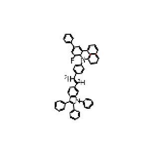 [2H]/C(=C(/[2H])c1ccc2c(-c3ccccc3)c(-c3ccccc3)n(-c3ccccc3)c2c1)c1ccc(N(c2ccccc2)c2c(F)cc(-c3ccccc3)cc2-c2ccccc2)cc1